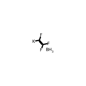 B.FC(F)=[C](F)[K]